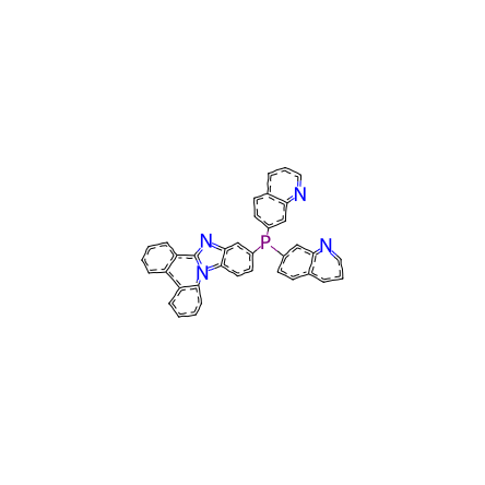 c1cnc2cc(P(c3ccc4cccnc4c3)c3ccc4c(c3)nc3c5ccccc5c5ccccc5n43)ccc2c1